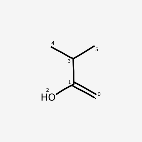 [CH]=C(O)C(C)C